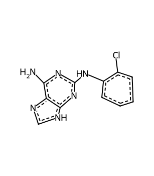 Nc1nc(Nc2ccccc2Cl)nc2[nH]cnc12